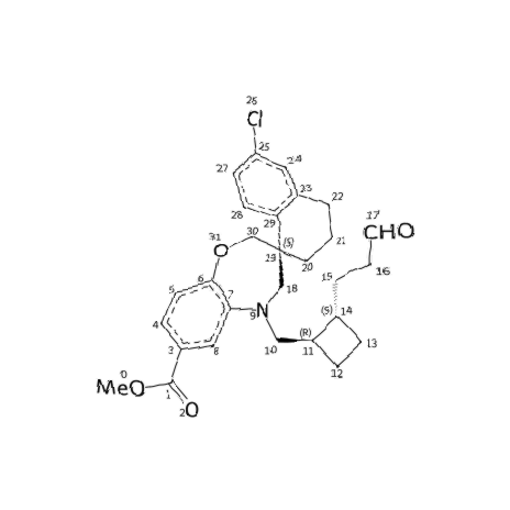 COC(=O)c1ccc2c(c1)N(C[C@@H]1CC[C@H]1CCC=O)C[C@@]1(CCCc3cc(Cl)ccc31)CO2